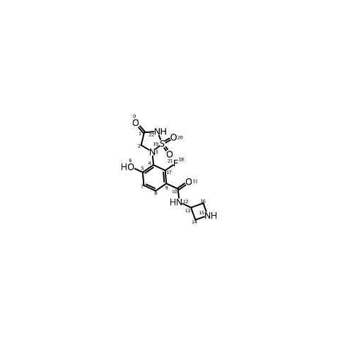 O=C1CN(c2c(O)ccc(C(=O)NC3CNC3)c2F)S(=O)(=O)N1